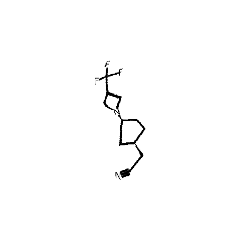 N#CC[C@H]1CC[C@@H](N2CC(C(F)(F)F)C2)CC1